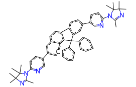 CC1=NC(C)(C)C(C)(C)N1c1ccc(-c2ccc3c(c2)C(c2ccccc2)(c2ccccc2)c2c-3ccc3cc(-c4ccc(N5C(C)=NC(C)(C)C5(C)C)nc4)ccc23)cn1